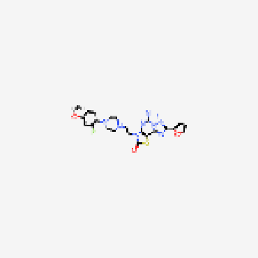 CCCCOc1ccc(N2CCN(CCn3c(=O)sc4c3nc(N)n3nc(-c5ccco5)nc43)CC2)c(F)c1